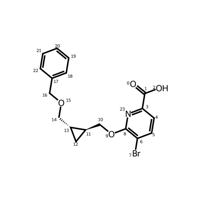 O=C(O)c1ccc(Br)c(OC[C@H]2C[C@@H]2COCc2ccccc2)n1